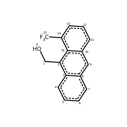 OCc1c2ccccc2cc2cccc(C(F)(F)F)c12